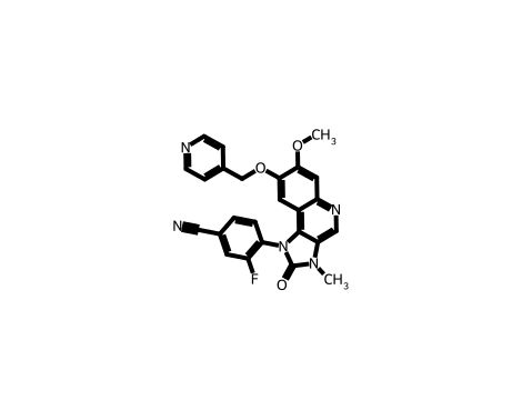 COc1cc2ncc3c(c2cc1OCc1ccncc1)n(-c1ccc(C#N)cc1F)c(=O)n3C